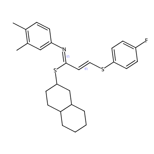 Cc1ccc(/N=C(/C=C/Sc2ccc(F)cc2)SC2CCC3CCCCC3C2)cc1C